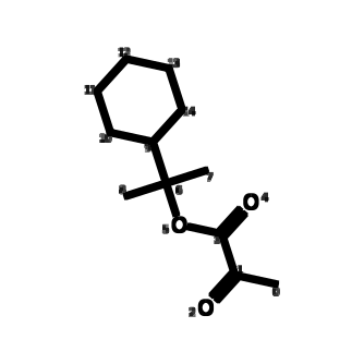 CC(=O)C(=O)OC(C)(C)C1CCCCC1